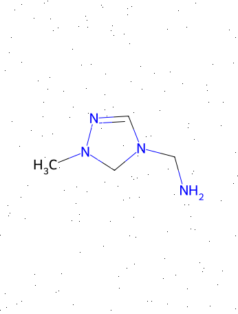 CN1CN(CN)C=N1